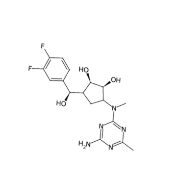 Cc1nc(N)nc(N(C)C2CC([C@@H](O)c3ccc(F)c(F)c3)[C@@H](O)[C@H]2O)n1